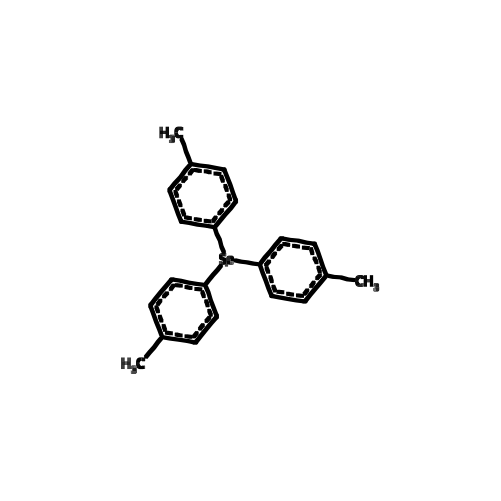 Cc1ccc([Se](c2ccc(C)cc2)c2ccc(C)cc2)cc1